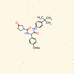 COc1ccc(C(NC(=O)N2CCC(=O)C2)C(=O)Nc2ccc([Si](C)(C)C)cc2)cc1